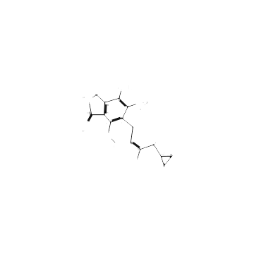 COc1c(C)c2c(c(OC=O)c1CC=C(C)CC1CC1)C(=O)OC2